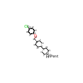 CCCCC[Si@H]1CC[C@H]([C@H]2CC[C@H](COc3ccc(Cl)cc3)CC2)CC1